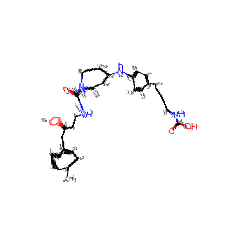 Cc1ccc(C(=O)CCNC(=O)N2CCC(Nc3ccc(CCNC(=O)O)cc3)CC2)cc1